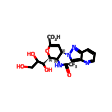 O=C(O)C1=C[C@H](n2cc3ncccc3n2)[C@@H](NC(=O)C(F)(F)F)[C@H](C(O)C(O)CO)O1